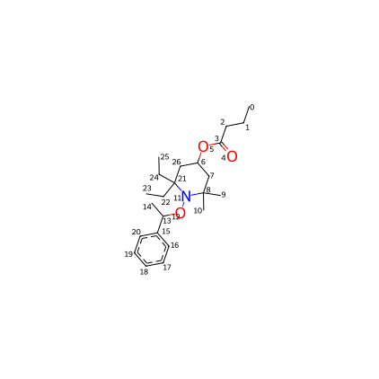 CCCC(=O)OC1CC(C)(C)N(OC(C)c2ccccc2)C(CC)(CC)C1